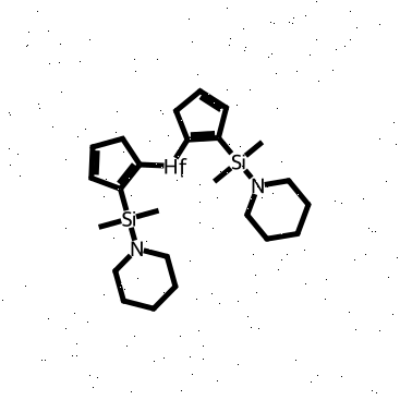 C[Si](C)(C1=[C]([Hf][C]2=C([Si](C)(C)N3CCCCC3)C=CC2)CC=C1)N1CCCCC1